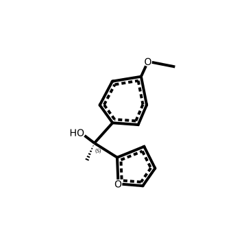 COc1ccc([C@](C)(O)c2ccco2)cc1